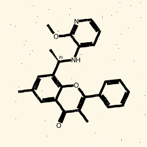 COc1ncccc1N[C@H](C)c1cc(C)cc2c(=O)c(C)c(-c3ccccc3)oc12